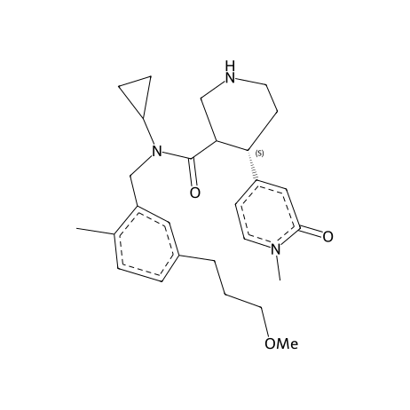 COCCCc1ccc(C)c(CN(C(=O)C2CNCC[C@@H]2c2ccn(C)c(=O)c2)C2CC2)c1